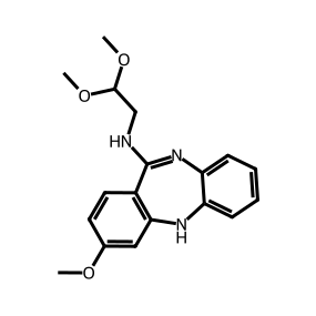 COc1ccc2c(c1)Nc1ccccc1N=C2NCC(OC)OC